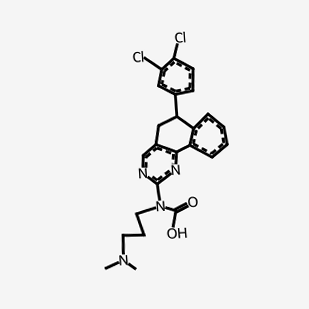 CN(C)CCCN(C(=O)O)c1ncc2c(n1)-c1ccccc1C(c1ccc(Cl)c(Cl)c1)C2